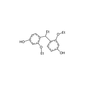 CCOc1cc(O)ccc1C(CC)c1ccc(O)cc1OCC